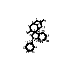 CC1CC2CC(C)C3(CN(c4ccccc4)c4ncccc43)C(C1)C2